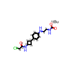 CC(C)(C)OC(=O)NCCNc1ccc(C2CC(NC(=O)CCl)C2)cc1